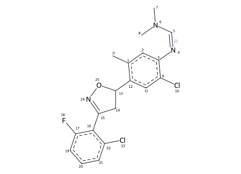 Cc1cc(/N=C\N(C)C)c(Cl)cc1C1CC(c2c(F)cccc2Cl)=NO1